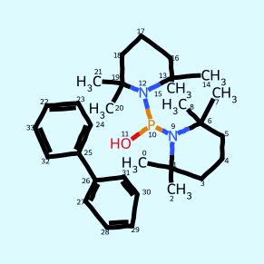 CC1(C)CCCC(C)(C)N1P(O)N1C(C)(C)CCCC1(C)C.c1ccc(-c2ccccc2)cc1